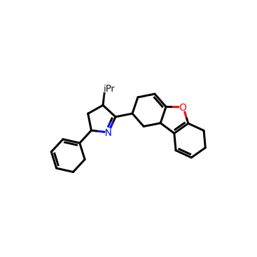 CC(C)C1CC(C2=CC=CCC2)N=C1C1CC=C2OC3=C(C=CCC3)C2C1